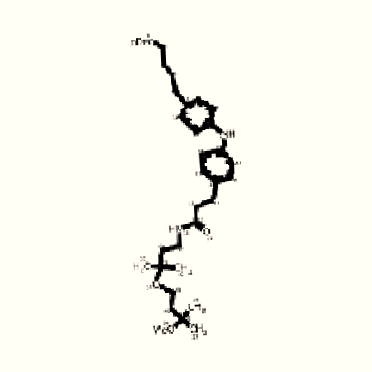 CCCCCCCCCCCCCCc1ccc(Nc2ccc(CCC(=O)NCCC(C)(C)OCCC(C)(C)OC)cc2)cc1